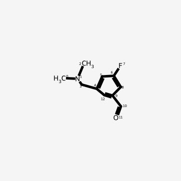 CN(C)Cc1cc(F)cc(C=O)c1